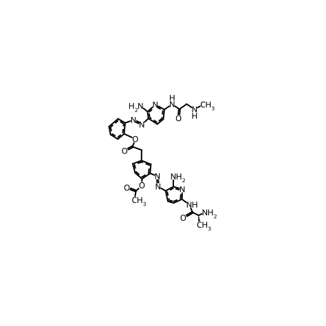 CNCC(=O)Nc1ccc(/N=N/c2ccccc2OC(=O)Cc2ccc(OC(C)=O)c(/N=N/c3ccc(NC(=O)[C@H](C)N)nc3N)c2)c(N)n1